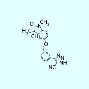 CN1C(=O)C(C)(C)c2cc(OCc3cccc(-c4nn[nH]c4C#N)c3)ccc21